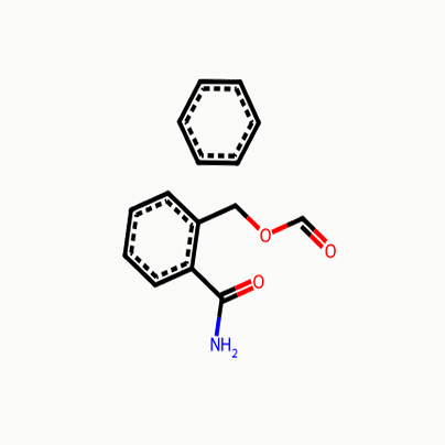 NC(=O)c1ccccc1COC=O.c1ccccc1